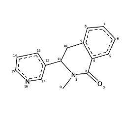 CN1C(=O)c2ccccc2CC1c1cccnc1